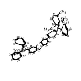 CC1C=C(N(C2=CC=C(c3ccc(Cc4ccc(N(c5ccccc5)C5C=CC=CC5)cc4)cc3)CC2)C2C=CC=CC2C)C(C)CC1